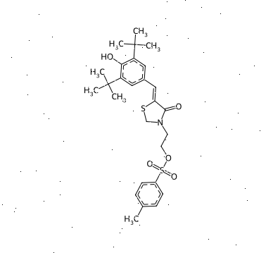 Cc1ccc(S(=O)(=O)OCCN2CS/C(=C\c3cc(C(C)(C)C)c(O)c(C(C)(C)C)c3)C2=O)cc1